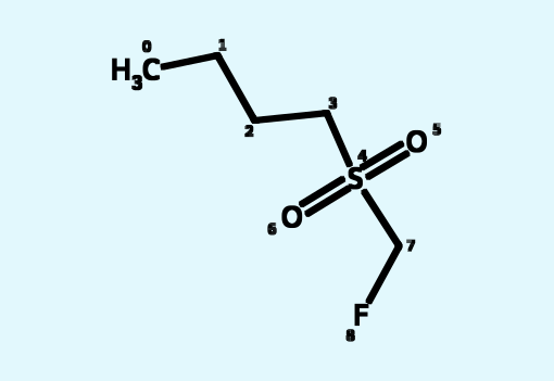 CCCCS(=O)(=O)CF